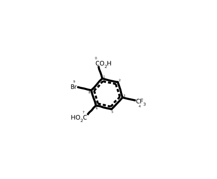 O=C(O)c1cc(C(F)(F)F)cc(C(=O)O)c1Br